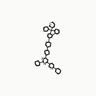 c1ccc(-c2ccc(-c3cc(-c4ccc(-c5ccc(-c6ccc7c(c6)-c6ccccc6C7(c6ccccc6)c6ccccc6)cc5)cc4)nc(-c4ccccc4)n3)cn2)cc1